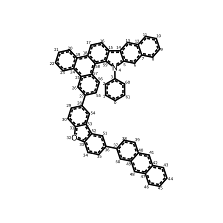 c1ccc(-n2c3cc4ccccc4cc3c3ccc4c5ccccc5c5cc(-c6ccc7oc8ccc(-c9ccc%10cc%11ccccc%11cc%10c9)cc8c7c6)ccc5c4c32)cc1